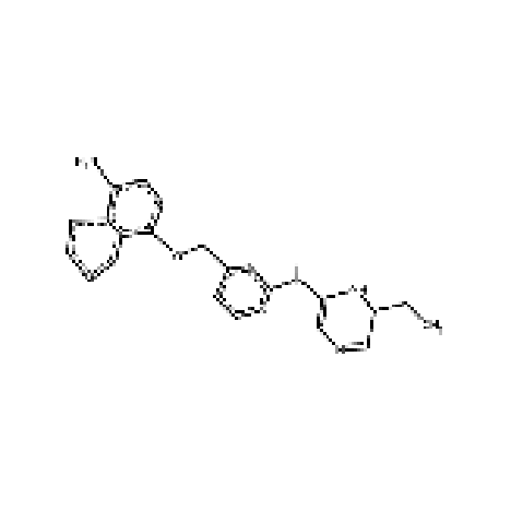 CCC1C=NC=C(Nc2cc(COc3ccc(N)c4ccccc34)ccn2)N1